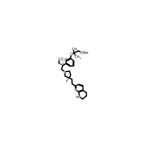 COCC(C)(C)Oc1cccc([C@H](CC(=O)O)CN2CC[C@@](F)(CCc3ccc4c(n3)NCCC4)C2)c1